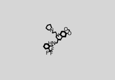 FC(F)(F)c1ccccc1CNCC1=Cc2cc3c(cc2N(CCN2CCCCC2)C1)OCO3